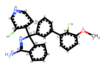 COc1cccc(-c2cccc(C3(c4ccncc4F)N=C(N)c4ccccc43)c2)c1F